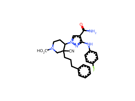 N#CC1(CCCc2ccccc2)CN(C(=O)O)CCC1n1cc(C(N)=O)c(Nc2ccc(F)cc2)n1